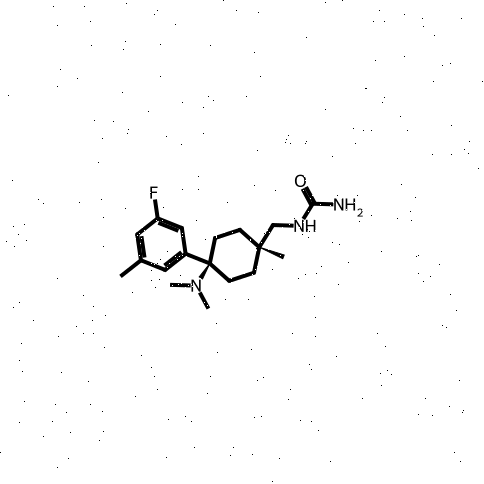 Cc1cc(F)cc([C@]2(N(C)C)CC[C@](C)(CNC(N)=O)CC2)c1